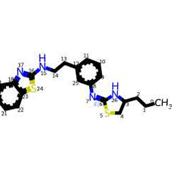 CCCC1CS/C(=N/c2cccc(CCNc3nc4ccccc4s3)c2)N1